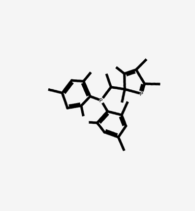 CC1=PC(C)(C(C)P(c2c(C)cc(C)cc2C)c2c(C)cc(C)cc2C)C(C)=C1C